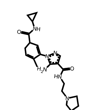 CC1=CCC(C(=O)NC2CC2)C=C1n1ncc(C(=O)NCCN2CCCC2)c1N